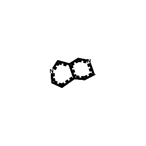 [c]1cc2ccncc2cn1